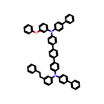 c1ccc(CCc2cccc(N(c3ccc(-c4ccccc4)cc3)c3ccc(-c4ccc(-c5ccc(N(c6ccc(-c7ccccc7)cc6)c6cccc(Oc7ccccc7)c6)cc5)cc4)cc3)c2)cc1